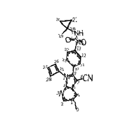 Cc1cnc2c(c1)c(C#N)c(-c1ccc(S(=O)(=O)NC3(C)CC3)cc1)n2C1=CC=C1